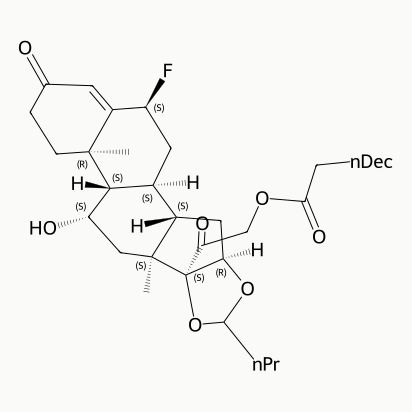 CCCCCCCCCCCC(=O)OCC(=O)[C@@]12OC(CCC)O[C@@H]1C[C@H]1[C@@H]3C[C@H](F)C4=CC(=O)CC[C@]4(C)[C@H]3[C@@H](O)C[C@@]12C